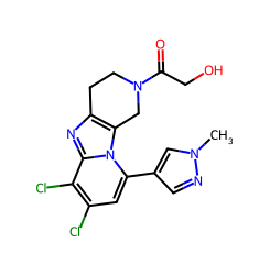 Cn1cc(-c2cc(Cl)c(Cl)c3nc4c(n23)CN(C(=O)CO)CC4)cn1